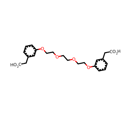 O=C(O)Cc1cccc(OCCOCCOCCOc2cccc(CC(=O)O)c2)c1